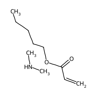 C=CC(=O)OCCCCC.CNC